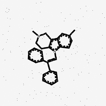 Cc1ccc2c(c1)c1c(n2C=C(c2ccccc2)c2ccccc2)CCN(C)C1